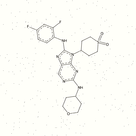 O=S1(=O)CCC(n2c(Nc3ccc(F)cc3F)nc3cnc(NC4CCOCC4)nc32)CC1